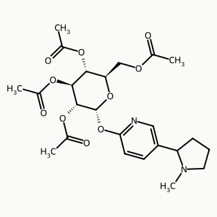 CC(=O)OC[C@H]1O[C@H](Oc2ccc(C3CCCN3C)cn2)[C@H](OC(C)=O)[C@@H](OC(C)=O)[C@@H]1OC(C)=O